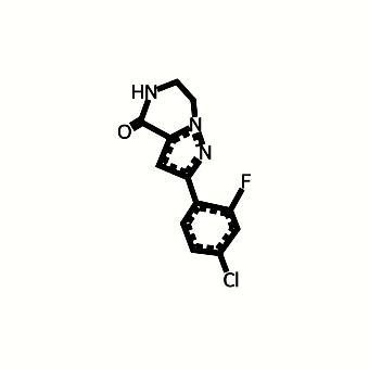 O=C1NCCn2nc(-c3ccc(Cl)cc3F)cc21